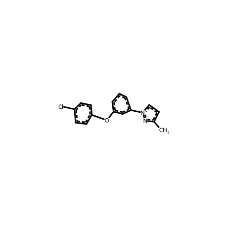 Cc1ccn(-c2cccc(Oc3ccc(Cl)cc3)c2)n1